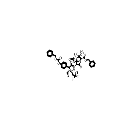 CC1(C)SC2(NC=O)[C@H](NC(=O)C(c3ccc(OC(=O)OCc4ccccc4)cc3)N(C=O)OCC(Cl)(Cl)Cl)C(=O)N2[C@H]1C(=O)OCc1ccccc1